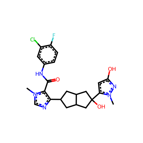 Cn1cnc(C2CC3CC(O)(c4cc(O)nn4C)CC3C2)c1C(=O)Nc1ccc(F)c(Cl)c1